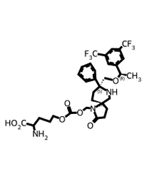 C[C@@H](OC[C@@]1(c2ccccc2)CC[C@]2(CCC(=O)N2COC(=O)OCCCC(N)C(=O)O)CN1)c1cc(C(F)(F)F)cc(C(F)(F)F)c1